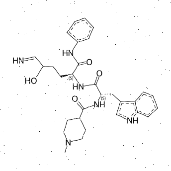 CN1CCC(C(=O)N[C@@H](Cc2c[nH]c3ccccc23)C(=O)N[C@@H](CCC(O)C=N)C(=O)Nc2ccccc2)CC1